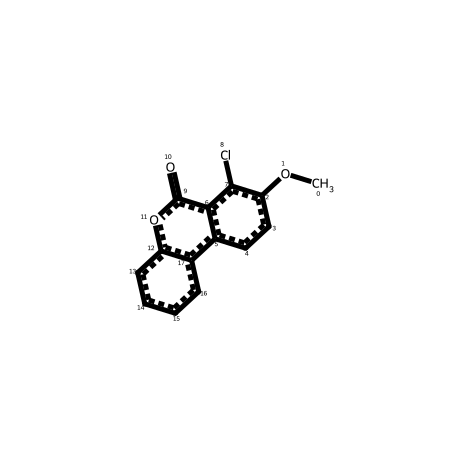 COc1ccc2c(c1Cl)c(=O)oc1ccccc12